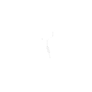 CCC#C[C@H](N)CO